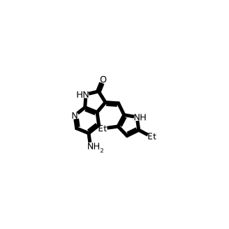 CCc1cc(CC)c(C=C2C(=O)Nc3ncc(N)cc32)[nH]1